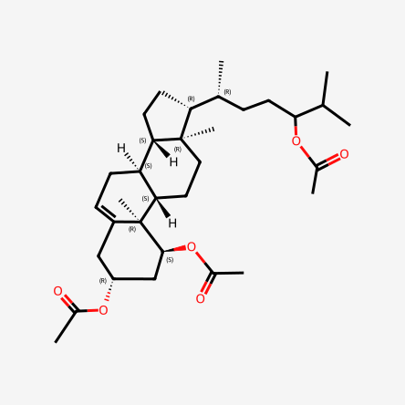 CC(=O)OC(CC[C@@H](C)[C@H]1CC[C@H]2[C@@H]3CC=C4C[C@@H](OC(C)=O)C[C@H](OC(C)=O)[C@]4(C)[C@H]3CC[C@]12C)C(C)C